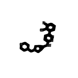 Fc1cccc(-c2ccc(NC3C4CN(CC5CCOCC5)CC43)nn2)c1Cl